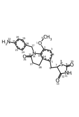 COc1ccc(CC2SC(=O)NC2=O)c2c1N(Cc1ccc(N)cc1)C(=O)CC2